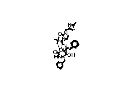 Cc1nc(CN2CCN([C@H](C(=O)N[C@@H](Cc3ccccc3)C[C@@H](O)[C@H](Cc3ccccc3)NC(=O)O)C(C)(C)C)C2=O)cs1